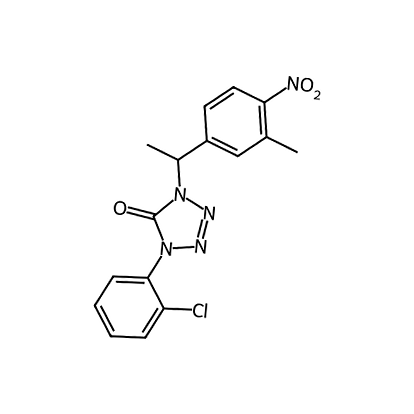 Cc1cc(C(C)n2nnn(-c3ccccc3Cl)c2=O)ccc1[N+](=O)[O-]